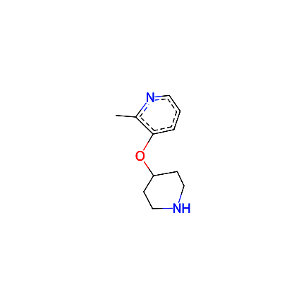 Cc1ncccc1OC1CCNCC1